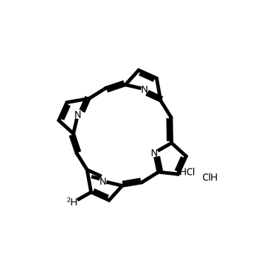 Cl.Cl.[2H]C1=CC2=CC3=NC(=CC4=NC(=CC5=NC(=CC1=N2)C=C5)C=C4)C=C3